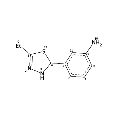 CCC1=NNC(c2cccc(N)c2)S1